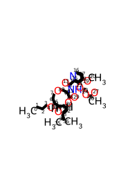 CCCCO[C@H]1CCOC[C@H](NC(=O)c2nccc(OC)c2OCOC(C)=O)C(=O)O[C@H]2C=C(C(C)C)O[C@@H]21